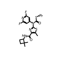 Cc1sc(N(C(=O)SC(C)C)c2cc(F)nc(F)c2)nc1C(=O)NC1CCC1(C)C